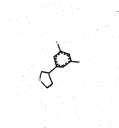 Fc1cc(F)cc(C2CCOC2)c1